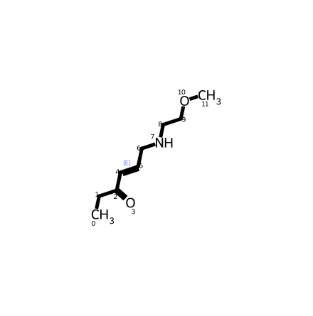 CCC(=O)/C=C/CNCCOC